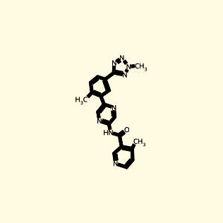 Cc1ccncc1C(=O)Nc1cnc(-c2cc(-c3nnn(C)n3)ccc2C)cn1